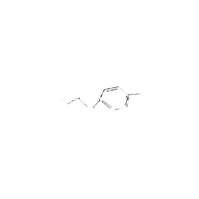 NCCNc1ccc(N=O)cn1